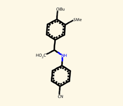 CSc1cc(C(Nc2ccc(C#N)cc2)C(=O)O)ccc1OCC(C)C